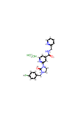 Cl.Cl.O=C(NCc1ccccn1)c1ccnc(N2CCN(Cc3ccc(F)cc3)C2=O)c1